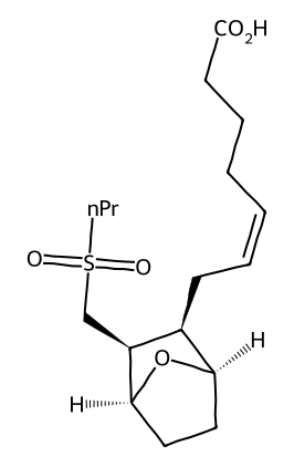 CCCS(=O)(=O)C[C@H]1[C@@H](C/C=C\CCCC(=O)O)[C@H]2CC[C@@H]1O2